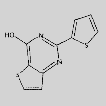 Oc1nc(-c2cccs2)nc2ccsc12